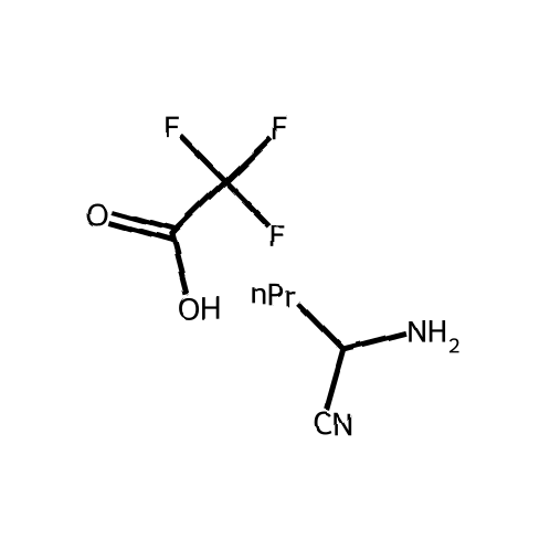 CCCC(N)C#N.O=C(O)C(F)(F)F